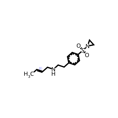 C/C=C/CNCCc1ccc(S(=O)(=O)N2CC2)cc1